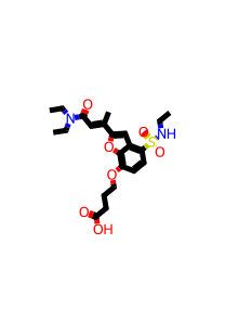 CCNS(=O)(=O)c1ccc(OCCCC(=O)O)c2oc(C(C)=CC(=O)N(CC)CC)cc12